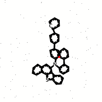 c1ccc(-c2ccc(-c3ccc(N(c4ccccc4-c4ccccc4)c4cc5ccccc5c5sc6ccccc6c45)cc3)cc2)cc1